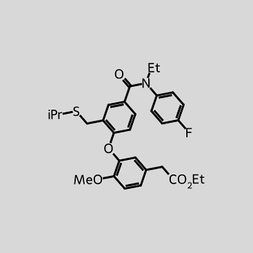 CCOC(=O)Cc1ccc(OC)c(Oc2ccc(C(=O)N(CC)c3ccc(F)cc3)cc2CSC(C)C)c1